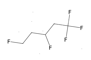 FCCC(F)CC(F)(F)F